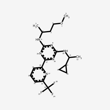 COCCC(C)Nc1nc(NC(C)C2CC2)nc(-c2cccc(C(F)(F)F)n2)n1